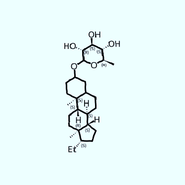 CC[C@H]1CC[C@H]2[C@@H]3CCC4CC(OC5O[C@H](C)[C@@H](O)[C@H](O)[C@H]5O)CC[C@]4(C)[C@H]3CC[C@]12C